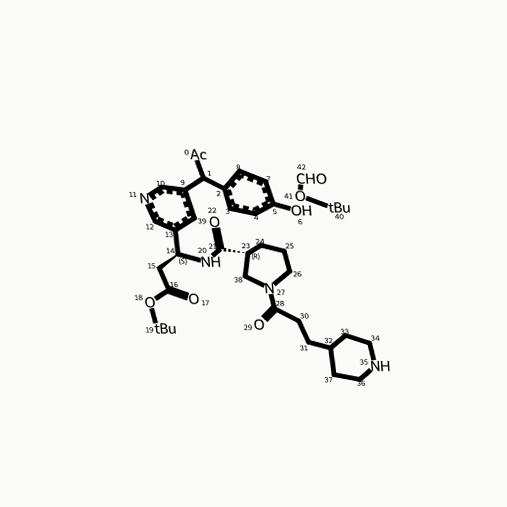 CC(=O)C(c1ccc(O)cc1)c1cncc([C@H](CC(=O)OC(C)(C)C)NC(=O)[C@@H]2CCCN(C(=O)CCC3CCNCC3)C2)c1.CC(C)(C)OC=O